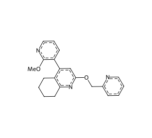 COc1ncccc1-c1cc(OCc2ccccn2)nc2c1CCCC2